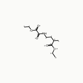 CCOC(=O)C(=O)NCCC(C)C(=O)OCC